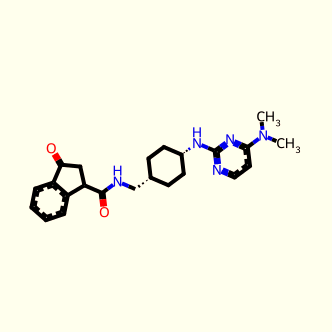 CN(C)c1ccnc(N[C@H]2CC[C@@H](CNC(=O)C3CC(=O)c4ccccc43)CC2)n1